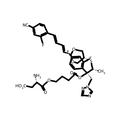 C[C@@H](S[C@H]1CO[C@H](C=CC=Cc2ccc(C#N)cc2F)OC1)[C@@](Cn1cncn1)(OC(=O)CCCOC(=O)[C@@H](N)CC(=O)O)c1ccc(F)cc1F